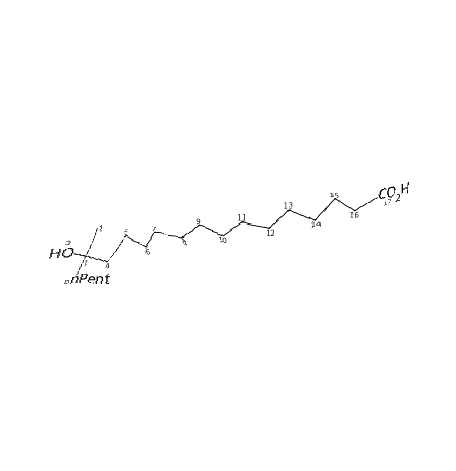 CCCCCC(C)(O)CCCCCCCCCCCCCC(=O)O